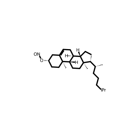 CC(C)CCC[C@@H](C)[C@H]1CC[C@H]2[C@@H]3CC=C4C[C@@H](ON=O)CC[C@]4(C)[C@H]3CC[C@]12C